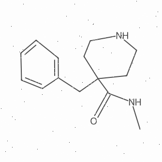 CNC(=O)C1(Cc2ccccc2)CCNCC1